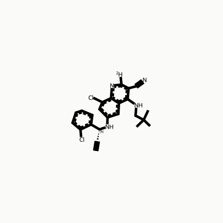 [2H]c1nc2c(Cl)cc(N[C@H](C#C)c3ccccc3Cl)cc2c(NCC(C)(C)C)c1C#N